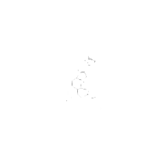 C=C(C)c1cc(C(F)(F)C(F)(F)F)c2ccc3nc(-c4nnco4)cn3c2n1